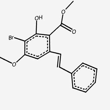 COC(=O)c1c(C=Cc2ccccc2)cc(OC)c(Br)c1O